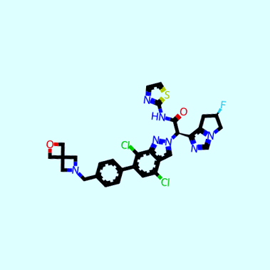 O=C(Nc1nccs1)[C@@H](c1ncn2c1C[C@@H](F)C2)n1cc2c(Cl)cc(-c3ccc(CN4CC5(COC5)C4)cc3)c(Cl)c2n1